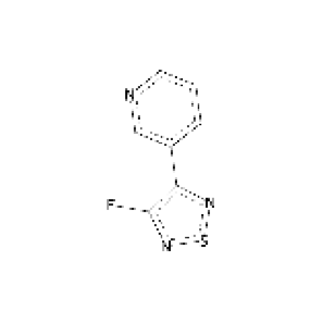 Fc1nsnc1-c1cccnc1